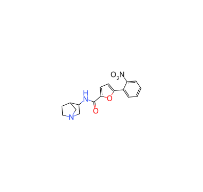 O=C(NC1CN2CCC1C2)c1ccc(-c2ccccc2[N+](=O)[O-])o1